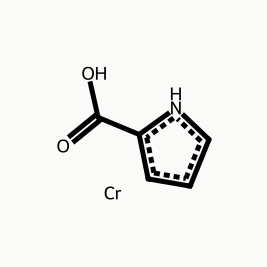 O=C(O)c1ccc[nH]1.[Cr]